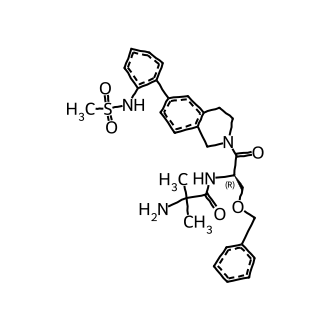 CC(C)(N)C(=O)N[C@H](COCc1ccccc1)C(=O)N1CCc2cc(-c3ccccc3NS(C)(=O)=O)ccc2C1